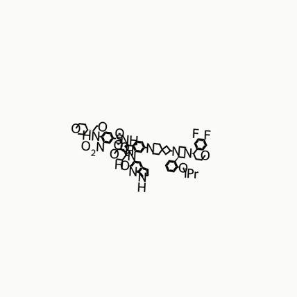 CC(C)Oc1ccccc1[C@@H]1CN([C@H]2CCOc3cc(F)c(F)cc32)CCN1C1CC2(CCN(c3ccc(C(=O)NS(=O)(=O)c4cc5c(c([N+](=O)[O-])c4)N[C@H](C4CCOCC4)CO5)c(N4c5cc6cc[nH]c6nc5O[C@H]5COCC[C@@H]54)c3)CC2)C1